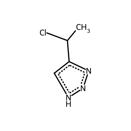 CC(Cl)c1c[nH]nn1